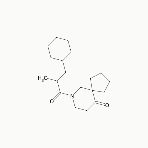 CC(CC1CCCCC1)C(=O)N1CCC(=O)C2(CCCC2)C1